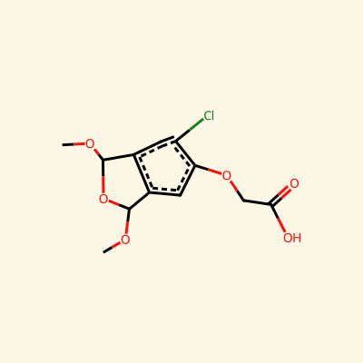 COC1OC(OC)c2cc(OCC(=O)O)c(Cl)cc21